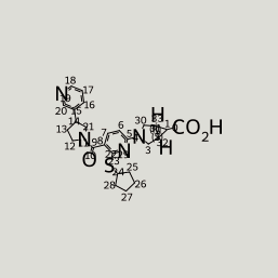 O=C(O)C1[C@H]2CN(c3ccc(C(=O)N4CCC(c5cccnc5)C4)c(SC4CCCC4)n3)C[C@@H]12